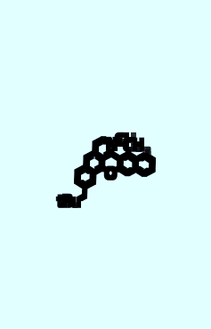 Cc1c2c(cc3ccccc13)Oc1c3cc(CC(C)(C)C)ccc3cc3cc[n+](C)c-2c13